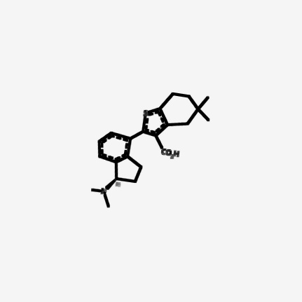 CN(C)[C@@H]1CCc2c(-c3sc4c(c3C(=O)O)CC(C)(C)CC4)cccc21